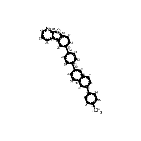 FC(F)(F)c1ccc(-c2ccc3cc(-c4ccc(-c5ccc6oc7ncccc7c6c5)cc4)ccc3c2)cc1